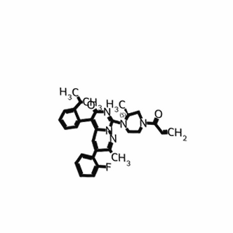 C=CC(=O)N1CCN(c2nc(=O)c(-c3ccccc3C(C)C)c3cc(-c4ccccc4F)c(C)nn23)[C@@H](C)C1